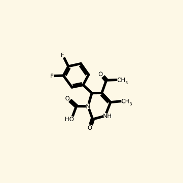 CC(=O)C1=C(C)NC(=O)N(C(=O)O)C1c1ccc(F)c(F)c1